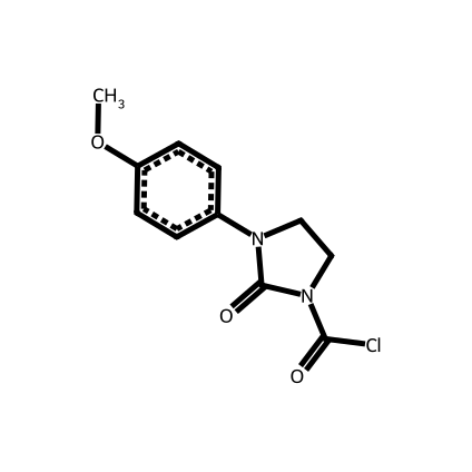 COc1ccc(N2CCN(C(=O)Cl)C2=O)cc1